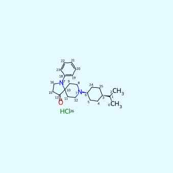 CC(C)[C@H]1CC[C@@H](N2CCC3(CC2)C(=O)CCN3c2ccccc2)CC1.Cl